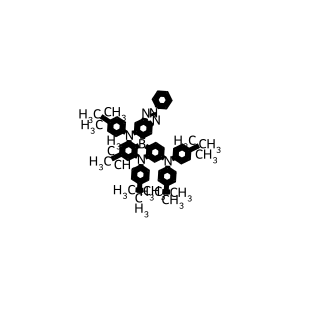 CC(C)(C)c1ccc(N(c2ccc(C(C)(C)C)cc2)c2ccc3c(c2)N(c2ccc(C(C)(C)C)cc2)c2cc(C(C)(C)C)cc4c2B3c2cc3nn(-c5ccccc5)nc3cc2N4c2ccc(C(C)(C)C)cc2)cc1